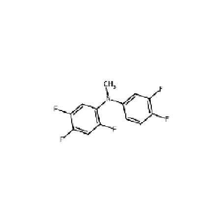 CN(c1ccc(F)c(F)c1)c1cc(F)c(F)cc1F